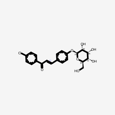 O=C(/C=C/c1ccc(O[C@@H]2O[C@H](CO)[C@@H](O)[C@@H](O)[C@H]2O)cc1)c1ccc(Cl)cc1